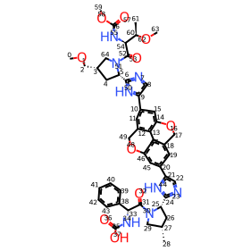 COC[C@H]1C[C@@H](c2ncc(-c3cc4c5c(c3)OCc3cc(-c6cnc([C@@H]7C[C@H](C)CN7C(=O)[C@H](NC(=O)O)c7ccccc7)[nH]6)cc(c3-5)OC4)[nH]2)N(C(=O)[C@@H](NC(=O)OC)[C@@H](C)OC)C1